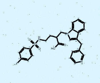 O=C(O)C(CCNS(=O)(=O)c1ccc(F)cc1)Cn1cc(Cc2cccnc2)c2ccccc21